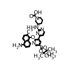 Cc1ccc2c(N)cccc2c1Oc1ncc(B2OC(C)(C)C(C)(C)O2)cc1-c1ccnc(N[C@H]2CCCN(C(=O)O)C2)n1